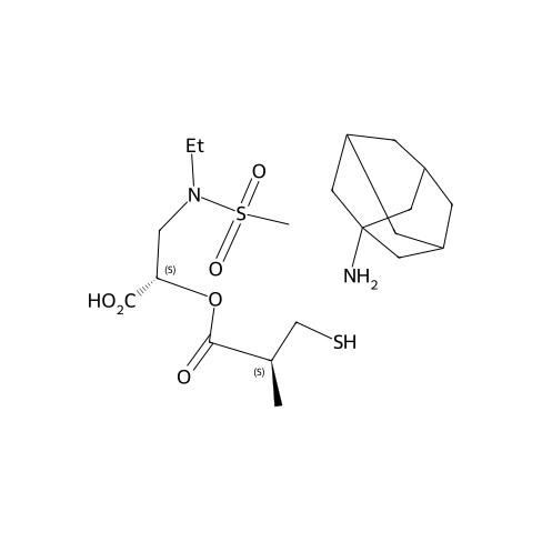 CCN(C[C@H](OC(=O)[C@H](C)CS)C(=O)O)S(C)(=O)=O.NC12CC3CC(CC(C3)C1)C2